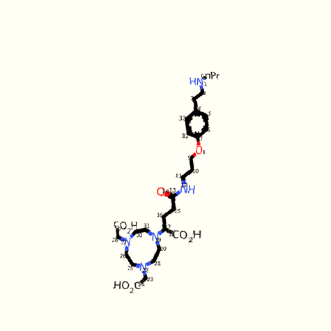 CCCNCCc1ccc(OCCCNC(=O)CCC(C(=O)O)N2CCN(CC(=O)O)CCN(CC(=O)O)CC2)cc1